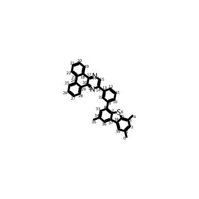 Cc1cc(C)c2sc3c(-c4cccc(-c5cnc6c7ccccc7c7ccccc7c6n5)c4)cc(C)cc3c2c1